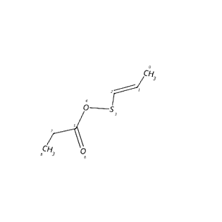 CC=CSOC(=O)CC